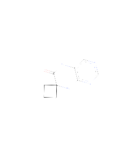 O=C1Nc2cncnc2NC12CCC2